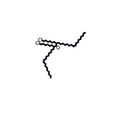 CCCCCCCC/C=C\CCCCCCCC(CCCCCCCl)C(=O)C(CCCCCCCl)CCCCCCC/C=C\CCCCCCCC